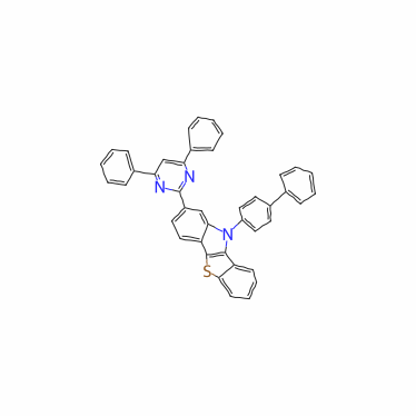 c1ccc(-c2ccc(-n3c4cc(-c5nc(-c6ccccc6)cc(-c6ccccc6)n5)ccc4c4sc5ccccc5c43)cc2)cc1